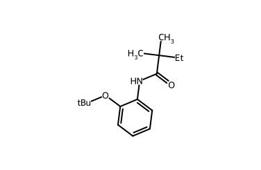 CCC(C)(C)C(=O)Nc1ccccc1OC(C)(C)C